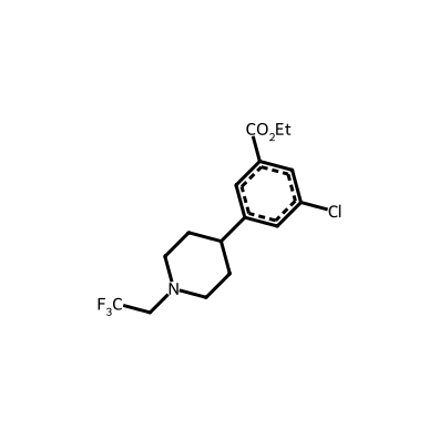 CCOC(=O)c1cc(Cl)cc(C2CCN(CC(F)(F)F)CC2)c1